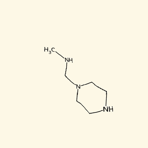 CNCN1CCNCC1